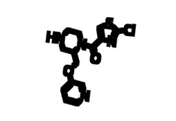 O=C(c1csc(Cl)n1)N1CCNCC1COc1cccnc1